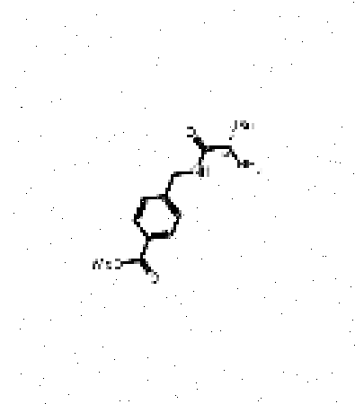 COC(=O)c1ccc(CNC(=O)[C@@H](N)C(C)(C)C)cc1